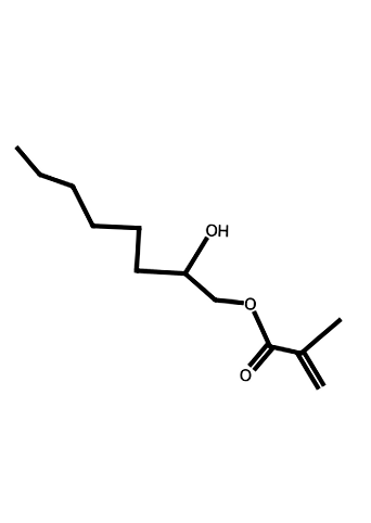 C=C(C)C(=O)OCC(O)CCCCCC